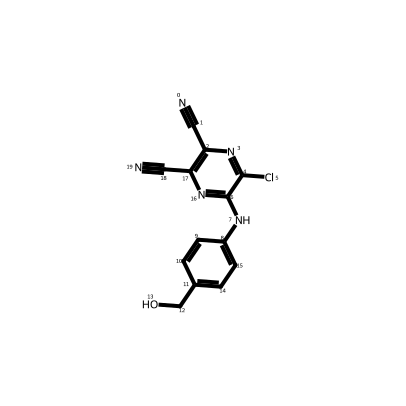 N#Cc1nc(Cl)c(Nc2ccc(CO)cc2)nc1C#N